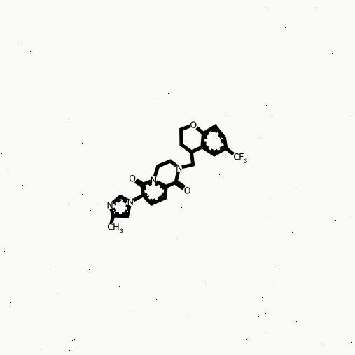 Cc1cn(-c2ccc3n(c2=O)CCN(CC2CCOc4ccc(C(F)(F)F)cc42)C3=O)cn1